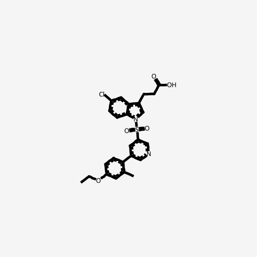 CCOc1ccc(-c2cncc(S(=O)(=O)n3cc(CCC(=O)O)c4cc(Cl)ccc43)c2)c(C)c1